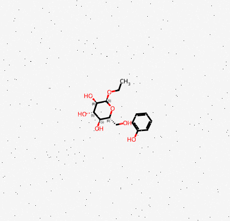 CCO[C@H]1O[C@H](CO)[C@@H](O)[C@H](O)[C@H]1O.Oc1ccccc1